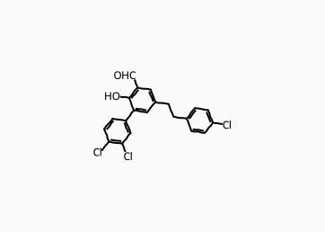 O=Cc1cc(CCc2ccc(Cl)cc2)cc(-c2ccc(Cl)c(Cl)c2)c1O